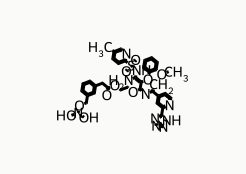 C=C(/N=C(OCCOC(=O)Cc1cccc(CON(O)O)c1)\C(Oc1ccccc1OC)=C(/N)NS(=O)(=O)c1ccc(C)cn1)c1ccnc(-c2nnn[nH]2)c1